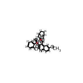 COc1ccc2ncc(C#N)c(CCN3C4CCC3CC(NS(=O)(=O)c3ccccc3C)C4)c2c1